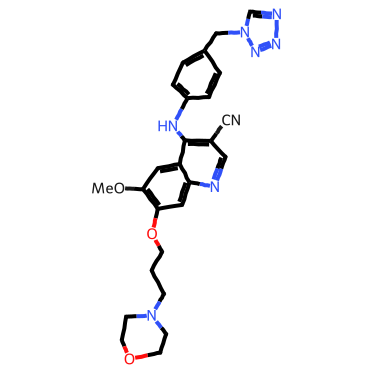 COc1cc2c(Nc3ccc(Cn4cnnn4)cc3)c(C#N)cnc2cc1OCCCN1CCOCC1